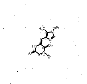 CCCn1cnc(C=C2NC(=O)CN(C(C)=O)C2=O)c1C